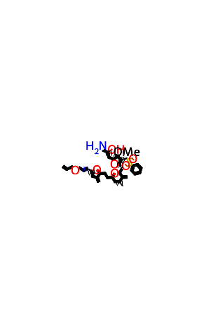 C=CCOC/C=C/[C@H]1CC(=C)C(CCC2C[C@@H](C)C(=C)C(C[C@@H]3OC(C[C@H](O)CN)[C@H](OC)[C@H]3CS(=O)(=O)c3ccccc3)O2)O1